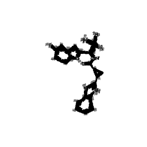 [2H]C([2H])([2H])C(NC(=O)[C@H]1C[C@@H]1c1nc2ccccc2[nH]1)c1cc2cc(F)ccc2o1